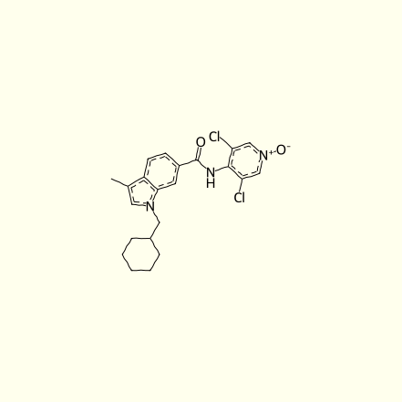 Cc1cn(CC2CCCCC2)c2cc(C(=O)Nc3c(Cl)c[n+]([O-])cc3Cl)ccc12